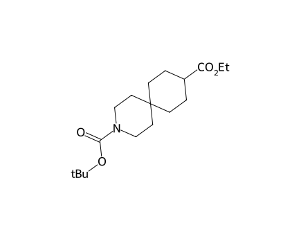 CCOC(=O)C1CCC2(CC1)CCN(C(=O)OC(C)(C)C)CC2